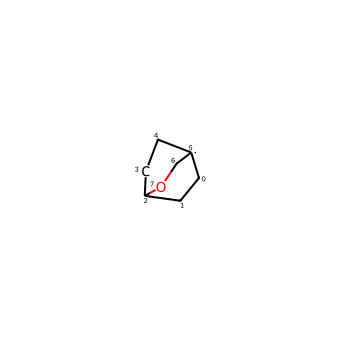 C1CC2CC[C]1CO2